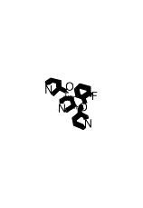 Cc1c(F)cccc1[C@H]1[C@@H](C(=O)c2cccnc2)CN(C)C[C@H]1C(=O)c1cccnc1